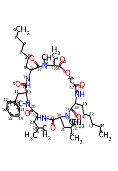 CCCCCCC1NC(=O)C(Cc2ccccc2)N(C)C(=O)C(CC(C)C)NC(=O)C(CC(C)C)N(C)C(=O)C(CCCCCC)NC(=O)COC(=O)C(C)N(C)C1=O